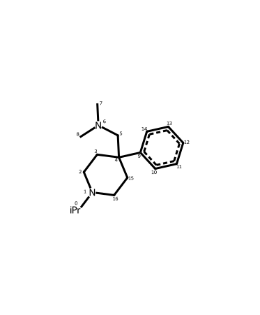 CC(C)N1CCC(CN(C)C)(c2ccccc2)CC1